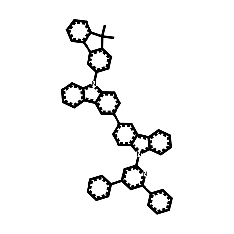 CC1(C)c2ccccc2-c2cc(-n3c4ccccc4c4cc(-c5ccc6c(c5)c5ccccc5n6-c5cc(-c6ccccc6)cc(-c6ccccc6)n5)ccc43)ccc21